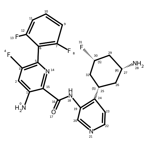 Nc1cc(F)c(-c2c(F)cccc2F)nc1C(=O)Nc1cnccc1[C@H]1C[C@@H](N)C[C@@H](F)C1